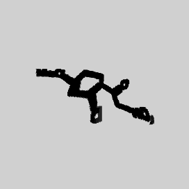 COc1ccc(C(=O)C[N+](=O)[O-])c(Cl)c1